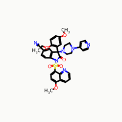 CCOc1ccc(OC)cc1C1(N2CCN(c3ccncc3)CC2)C(=O)N(S(=O)(=O)c2ccc(OC)c3cccnc23)c2ccc(C#N)cc21